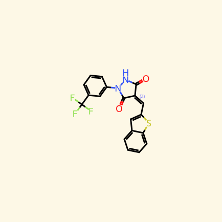 O=C1NN(c2cccc(C(F)(F)F)c2)C(=O)/C1=C\c1cc2ccccc2s1